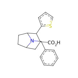 O=C(O)C1CC2CCC(C1c1cccs1)N2Cc1ccccc1